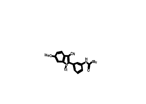 CCn1c(-c2cccc(NC(=O)C(C)(C)C)c2)c(C#N)c2ccc(OC)cc21